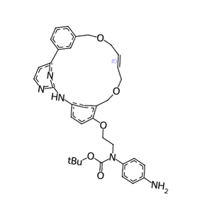 CC(C)(C)OC(=O)N(CCOc1ccc2cc1COC/C=C/COCc1cccc(c1)-c1ccnc(n1)N2)c1ccc(N)cc1